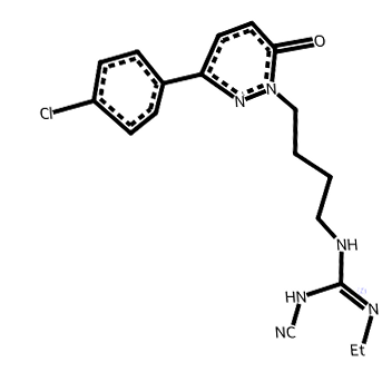 CC/N=C(\NC#N)NCCCCn1nc(-c2ccc(Cl)cc2)ccc1=O